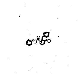 COC=C1CCCN(C(=O)OCc2ccccc2)C1Cc1ccccc1